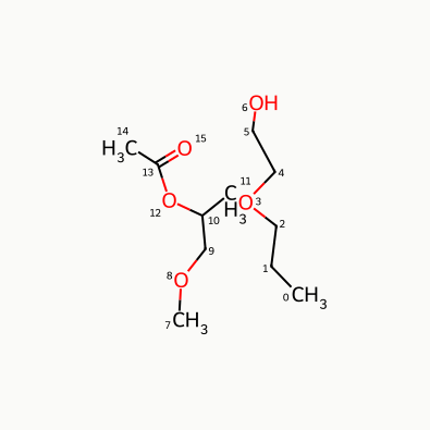 CCCOCCO.COCC(C)OC(C)=O